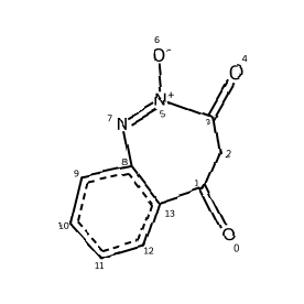 O=C1CC(=O)[N+]([O-])=Nc2ccccc21